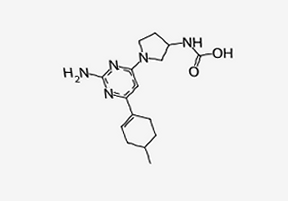 CC1CC=C(c2cc(N3CCC(NC(=O)O)C3)nc(N)n2)CC1